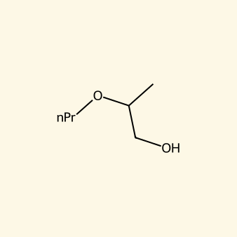 CCCOC(C)CO